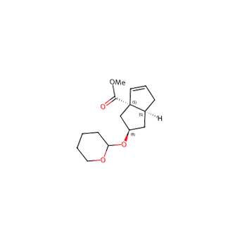 COC(=O)[C@]12C=CC[C@H]1C[C@@H](OC1CCCCO1)C2